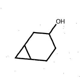 OC1CCC2CC2C1